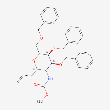 C=CC[C@@H]1OC(COCc2ccccc2)[C@@H](OCc2ccccc2)[C@@H](OCc2ccccc2)C1NC(=O)OC(C)(C)C